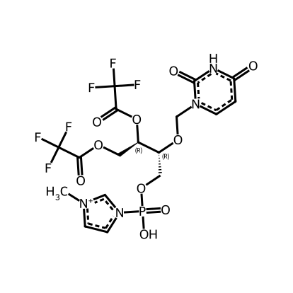 C[n+]1ccn(P(=O)(O)OC[C@@H](OCn2ccc(=O)[nH]c2=O)[C@@H](COC(=O)C(F)(F)F)OC(=O)C(F)(F)F)c1